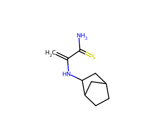 C=C(NC1CC2CCC1C2)C(N)=S